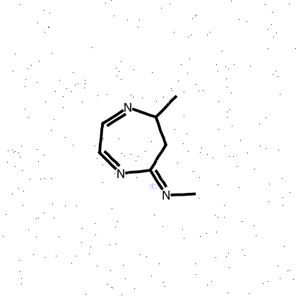 C/N=C1\CC(C)N=CC=N1